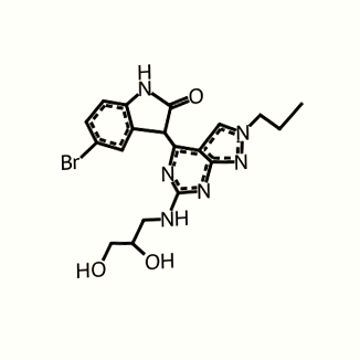 CCCn1cc2c(C3C(=O)Nc4ccc(Br)cc43)nc(NCC(O)CO)nc2n1